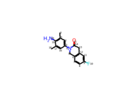 Cc1cc(N2Cc3ccc(F)cc3CC2=O)cc(C)c1N